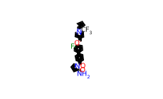 NC(=O)[C@@H]1CCCN1C(=O)c1ccc(-c2ccc(OCC3CCN(CC4(C(F)(F)F)CCC4)CC3)c(F)c2)cc1